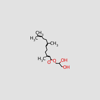 CC(C)=CCCC(C)=CCCC(C)=CC(=O)OCC(O)CO